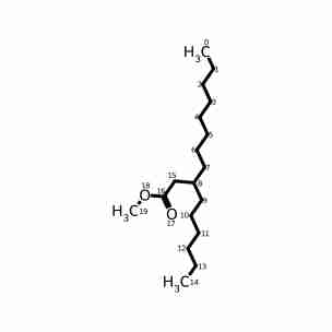 CCCCCCCCC(CCCCCC)CC(=O)OC